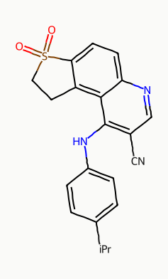 CC(C)c1ccc(Nc2c(C#N)cnc3ccc4c(c23)CCS4(=O)=O)cc1